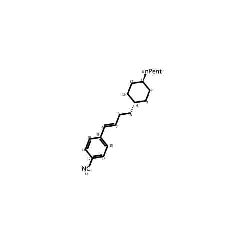 CCCCC[C@H]1CC[C@H](CC/C=C/c2ccc(C#N)cc2)CC1